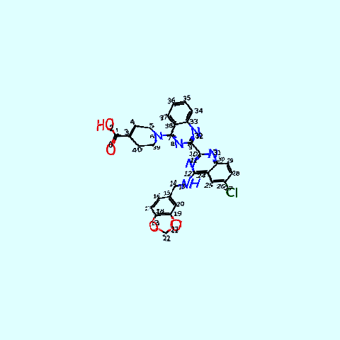 O=C(O)C1CCN(c2nc(-c3nc(NCc4ccc5c(c4)OCO5)c4cc(Cl)ccc4n3)nc3ccccc23)CC1